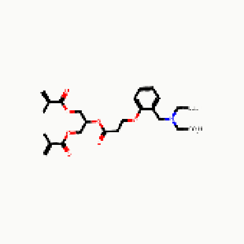 C=C(C)C(=O)OCC(COC(=O)C(=C)C)OC(=O)CCOc1ccccc1CN(CC(=O)O)CC(=O)O